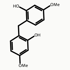 COc1ccc(Cc2ccc(OC)cc2O)c(O)c1